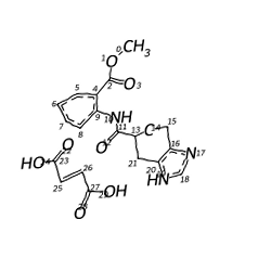 COC(=O)c1ccccc1NC(=O)C1CCc2nc[nH]c2C1.O=C(O)C=CC(=O)O